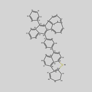 C1=CC2=CC=CC3=C(C2)C(=C1)c1c3c(-c2ccccc2)c2ccccc2c1-c1ccc(-c2ccc3c4c(cccc24)C2=C(CCCC=C2)S3)cc1